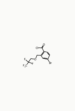 O=C(Cl)c1ccc(Br)cc1COCC(F)(F)C(F)(F)F